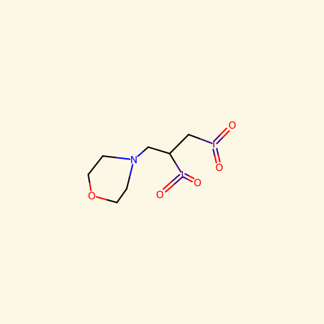 O=I(=O)CC(CN1CCOCC1)I(=O)=O